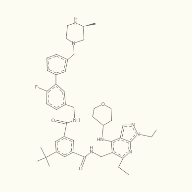 CCc1nc2c(cnn2CC)c(NC2CCOCC2)c1CNC(=O)c1cc(C(=O)NCc2ccc(F)c(-c3cccc(CN4CCN[C@@H](C)C4)c3)c2)cc(C(C)(C)C)c1